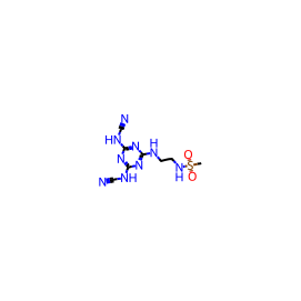 CS(=O)(=O)NCCNc1nc(NC#N)nc(NC#N)n1